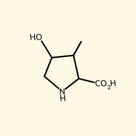 CC1C(O)CNC1C(=O)O